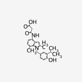 Cc1ccc(NC(=O)CC(=O)O)c2cc(C)n(Cc3ccc(O)c(C(C)C)c3)c12